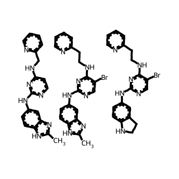 Brc1cnc(Nc2ccc3c(c2)CCN3)nc1NCCc1ccccn1.Cc1nc2cc(Nc3ncc(Br)c(NCCc4ccccn4)n3)ccc2[nH]1.Cc1nc2cc(Nc3nccc(NCc4ccccn4)n3)ccc2[nH]1